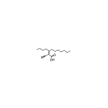 CCCCCCCC(CCCC)=C(C#N)C(=O)O